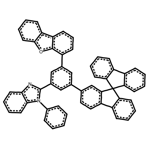 c1ccc(-n2c(-c3cc(-c4ccc5c(c4)C4(c6ccccc6-c6ccccc64)c4ccccc4-5)cc(-c4cccc5c4oc4ccccc45)c3)nc3ccccc32)cc1